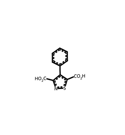 O=C(O)c1nsc(C(=O)O)c1-c1ccccc1